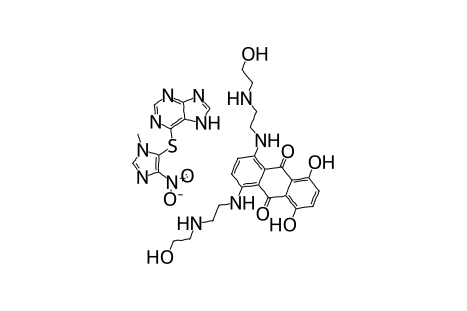 Cn1cnc([N+](=O)[O-])c1Sc1ncnc2nc[nH]c12.O=C1c2c(O)ccc(O)c2C(=O)c2c(NCCNCCO)ccc(NCCNCCO)c21